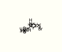 CC(C)(CBr)Cc1ccc2c(CCNS(=O)(=O)C3CC3)c[nH]c2c1